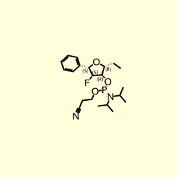 CC[C@H]1O[C@@H](c2ccccc2)[C@H](F)[C@@H]1OP(OCCC#N)N(C(C)C)C(C)C